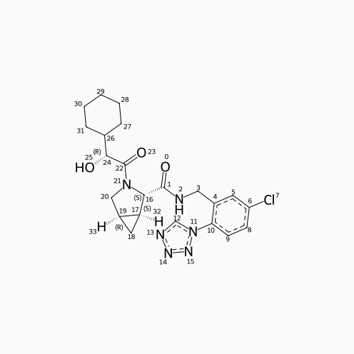 O=C(NCc1cc(Cl)ccc1-n1cnnn1)[C@@H]1[C@H]2C[C@H]2CN1C(=O)[C@H](O)C1CCCCC1